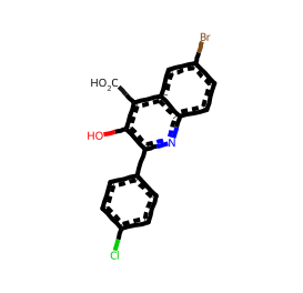 O=C(O)c1c(O)c(-c2ccc(Cl)cc2)nc2ccc(Br)cc12